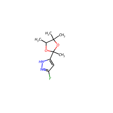 CC1OC(C)(c2cc(F)n[nH]2)OC1(C)C